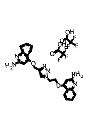 Nc1cc(OCCn2cc(COc3cc(N)nc4ccccc34)nn2)c2ccccc2n1.O=C(O)C(F)(F)F.O=C(O)C(F)(F)F